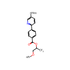 CCCCCCc1ccc(-c2ccc(C(=O)OC(COCCC)C(F)(F)F)cc2)nc1